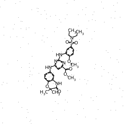 CCN(CC)S(=O)(=O)c1ccc(OC)c(Nc2nc(Nc3ccc4c(c3)NC(=O)C(C)(C)O4)cc(C(=O)OC)n2)c1